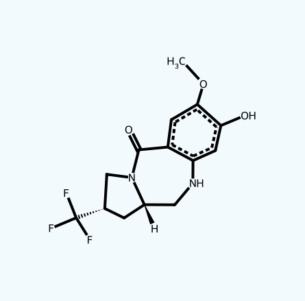 COc1cc2c(cc1O)NC[C@@H]1C[C@H](C(F)(F)F)CN1C2=O